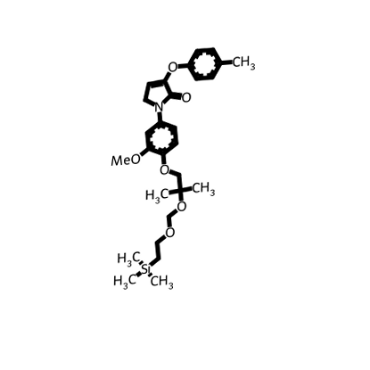 COc1cc(N2CC=C(Oc3ccc(C)cc3)C2=O)ccc1OCC(C)(C)OCOCC[Si](C)(C)C